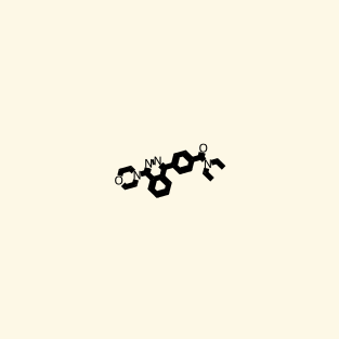 CCN(CC)C(=O)c1ccc(-c2nnc(N3CCOCC3)c3ccccc23)cc1